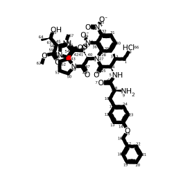 CC[C@H](C)[C@H](NC(=O)[C@@H](N)Cc1ccc(OCc2ccccc2)cc1)C(=O)N(c1cccc([N+](=O)[O-])c1[N+](=O)[O-])[C@@H](Cc1c[nH]cn1)C(=O)N1CCC[C@H]1C(=O)N(C)[C@H](C(=O)OC)[C@@H](C)O.Cl